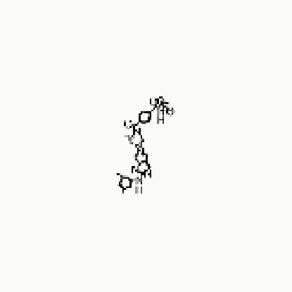 Cc1cc(C)cc(Nc2ncc3c(n2)CN([C@H]2CCN(C(=O)c4ccc(C(=O)NS(C)(=O)=O)cc4)[C@@H](C)C2)C3)c1